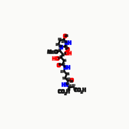 CO[C@H]([C@H](O)[C@H](O)CC(=O)NCCCC(=O)N[C@@H](CC(=O)O)C(=O)O)N1CCC(=O)NC1=O